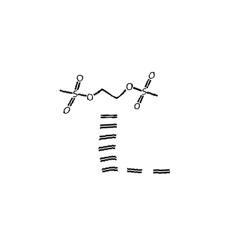 C=C.C=C.C=C.C=C.C=C.C=C.C=C.C=C.CS(=O)(=O)OCCOS(C)(=O)=O